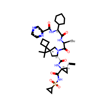 C=C[C@@H]1C[C@]1(NC(=O)[C@@H]1C[C@@]2(CN1C(=O)C(NC(=O)[C@@H](NC(=O)c1cnccn1)C1CCCCC1)C(C)(C)C)C(C)(C)C21CCC1)C(=O)NS(=O)(=O)C1CC1